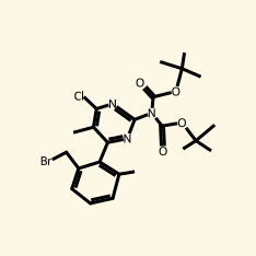 Cc1cccc(CBr)c1-c1nc(N(C(=O)OC(C)(C)C)C(=O)OC(C)(C)C)nc(Cl)c1C